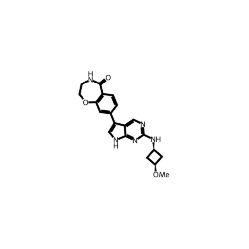 CO[C@H]1C[C@@H](Nc2ncc3c(-c4ccc5c(c4)OCCNC5=O)c[nH]c3n2)C1